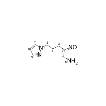 NCC(CCCn1cccn1)N=O